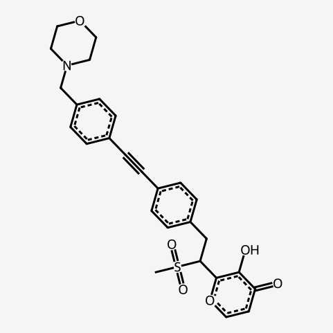 CS(=O)(=O)C(Cc1ccc(C#Cc2ccc(CN3CCOCC3)cc2)cc1)c1occc(=O)c1O